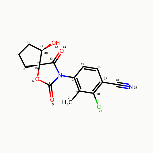 Cc1c(N2C(=O)O[C@@]3(CCC[C@H]3O)C2=O)ccc(C#N)c1Cl